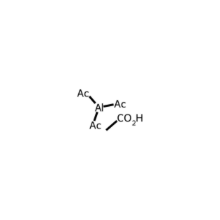 CC(=O)O.C[C](=O)[Al]([C](C)=O)[C](C)=O